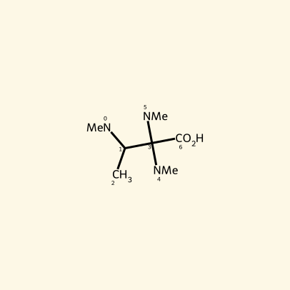 CNC(C)C(NC)(NC)C(=O)O